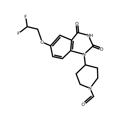 O=CN1CCC(n2c(=O)[nH]c(=O)c3cc(OCC(F)F)ccc32)CC1